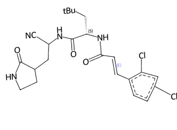 CC(C)(C)C[C@H](NC(=O)/C=C/c1ccc(Cl)cc1Cl)C(=O)NC(C#N)CC1CCNC1=O